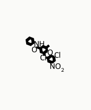 Cc1cc(C(=O)Nc2ccccc2)cc(C)c1Oc1c(Cl)cc([N+](=O)[O-])cc1Cl